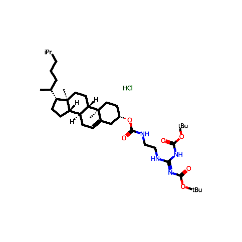 CC(C)CCCC(C)[C@H]1CC[C@H]2[C@@H]3CC=C4C[C@@H](OC(=O)NCCN/C(=N/C(=O)OC(C)(C)C)NC(=O)OC(C)(C)C)CC[C@]4(C)[C@H]3CC[C@]12C.Cl